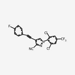 N#Cc1nn(-c2c(Cl)cc(C(F)(F)F)cc2Cl)cc1C#Cc1ccc(F)cc1